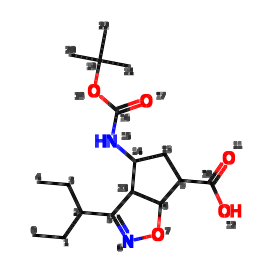 CCC(CC)C1=NOC2C(C(=O)O)CC(NC(=O)OC(C)(C)C)C12